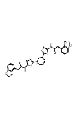 O=C(Cc1cccc2c1OCO2)Nc1nnc([C@H]2CCC[C@H](c3nnc(NC(=O)Cc4cccc5c4OCO5)s3)C2)s1